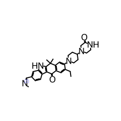 CCc1cc2c(cc1N1CCC(N3CCNC(=O)C3)CC1)C(C)(C)c1[nH]c3cc(/C=N\C)ccc3c1C2=O